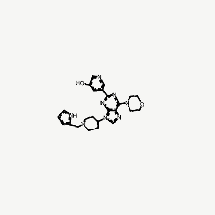 Oc1cncc(-c2nc(N3CCOCC3)c3ncn(C4CCN(Cc5ccc[nH]5)CC4)c3n2)c1